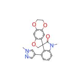 CN1C(=O)C2(COc3cc4c(cc32)OCCO4)c2c(-c3cnn(C)c3)cccc21